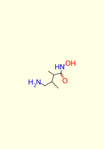 CC(CN)C(C)C(=O)NO